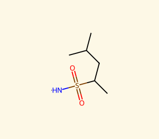 CC(C)CC(C)S([NH])(=O)=O